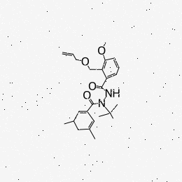 C=CCOCc1c(OC)cccc1C(=O)NN(C(=O)C1=CC(C)CC(C)=C1)C(C)(C)C